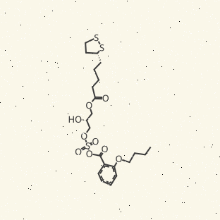 CCCCOc1ccccc1C(=O)OS(=O)(=O)OC[C@H](O)COC(=O)CCCC[C@@H]1CCSS1